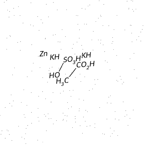 CC(=O)O.O=S(=O)(O)O.[KH].[KH].[Zn]